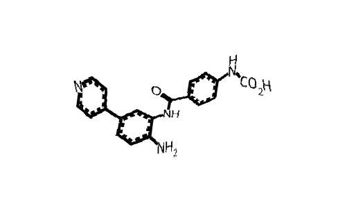 Nc1ccc(-c2ccncc2)cc1NC(=O)c1ccc(NC(=O)O)cc1